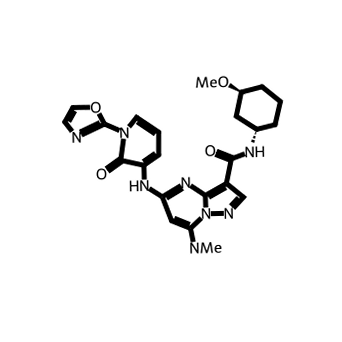 CNc1cc(Nc2cccn(-c3ncco3)c2=O)nc2c(C(=O)N[C@H]3CCC[C@H](OC)C3)cnn12